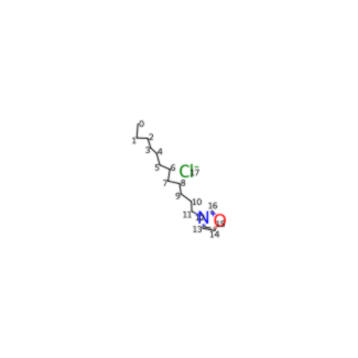 CCCCCCCCCCCC[n+]1ccoc1.[Cl-]